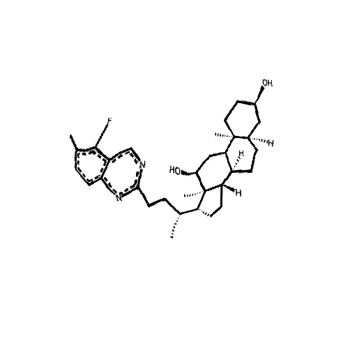 Cc1ccc2nc(CC[C@@H](C)[C@H]3CC[C@H]4[C@@H]5CC[C@@H]6C[C@H](O)CC[C@]6(C)C5C[C@H](O)[C@]34C)ncc2c1F